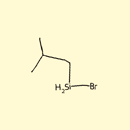 CC(C)C[SiH2]Br